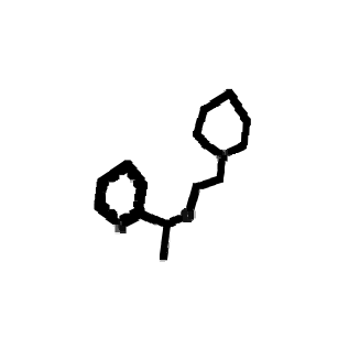 CC(OCCN1CCCCC1)c1ccccn1